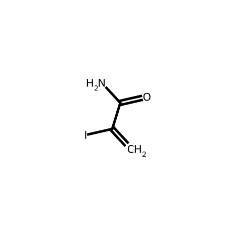 C=C(I)C(N)=O